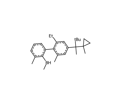 CBc1c(C)cccc1-c1c(C)cc(C(C)(C(C)(C)C)C2(C)CC2)cc1CC